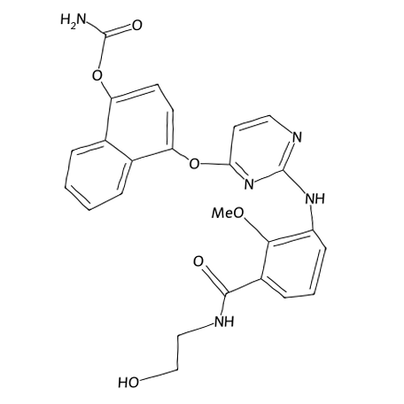 COc1c(Nc2nccc(Oc3ccc(OC(N)=O)c4ccccc34)n2)cccc1C(=O)NCCO